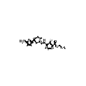 CCOC(=O)c1ncnc(NC[C@@H]2CCCC(c3ccc(C)o3)C2)c1C